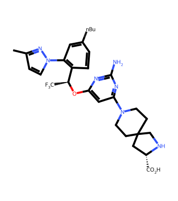 CCCCc1ccc([C@@H](Oc2cc(N3CCC4(CC3)CN[C@H](C(=O)O)C4)nc(N)n2)C(F)(F)F)c(-n2ccc(C)n2)c1